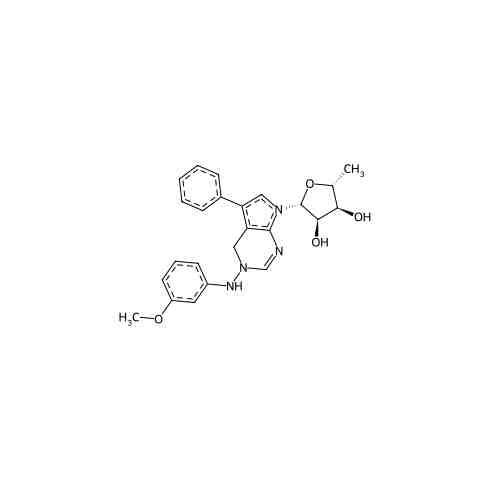 COc1cccc(NN2C=Nc3c(c(-c4ccccc4)cn3[C@@H]3O[C@H](C)[C@@H](O)[C@H]3O)C2)c1